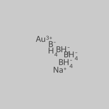 [Au+3].[BH4-].[BH4-].[BH4-].[BH4-].[Na+]